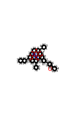 c1ccc(-c2ccc(-c3ccccc3N(c3ccccc3-c3ccccc3N(c3ccc(-c4ccc5ccccc5c4)cc3)c3ccc4c(ccc5cc(-c6ccc7c(c6)oc6ccccc67)ccc54)c3)c3ccc(-c4ccccc4)c4ccccc34)cc2)cc1